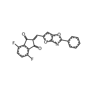 O=C1C(=Cc2cc3oc(-c4ccccc4)nc3o2)C(=O)c2c(F)ccc(F)c21